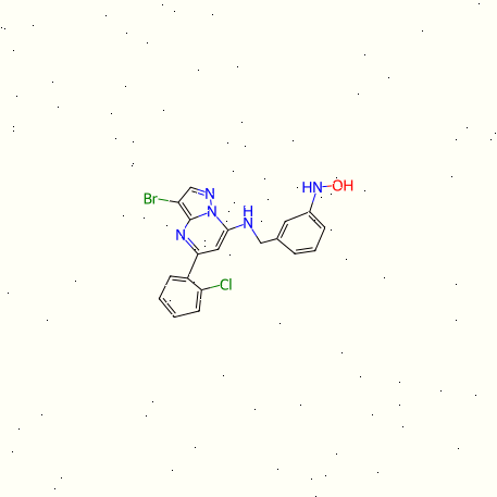 ONc1cccc(CNc2cc(-c3ccccc3Cl)nc3c(Br)cnn23)c1